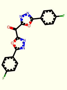 O=C(c1nnc(-c2ccc(F)cc2)o1)c1nnc(-c2ccc(F)cc2)o1